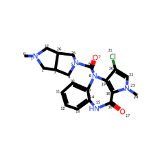 CN1CC2CN(C(=O)N3c4ccccc4NC(=O)c4c3c(Cl)cn4C)CC2C1